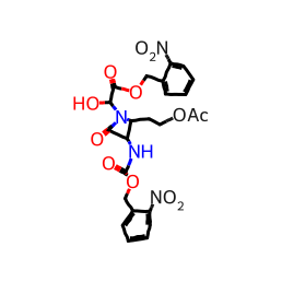 CC(=O)OCCC1C(NC(=O)OCc2ccccc2[N+](=O)[O-])C(=O)N1C(O)C(=O)OCc1ccccc1[N+](=O)[O-]